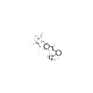 CCCC1(CC)NC(Cl)=C(C(=O)O)N1Cc1ccc2oc(-c3ccccc3-c3nnn[nH]3)c(Br)c2c1